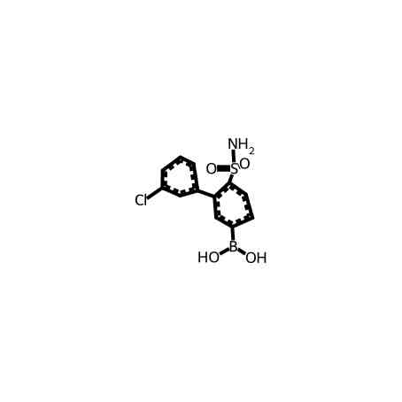 NS(=O)(=O)c1ccc(B(O)O)cc1-c1cccc(Cl)c1